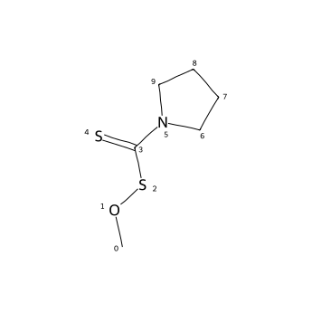 COSC(=S)N1CCCC1